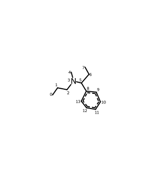 CCCN(C)C(CC)c1ccccc1